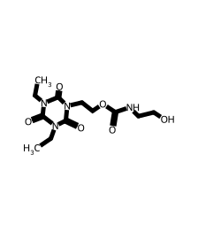 CCn1c(=O)n(CC)c(=O)n(CCOC(=O)NCCO)c1=O